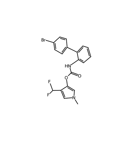 Cn1cc(OC(=O)Nc2ccccc2-c2ccc(Br)cc2)c(C(F)F)c1